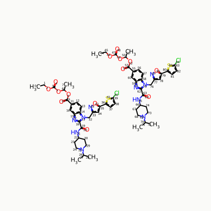 CCOC(=O)OC(C)OC(=O)c1ccc2c(c1)nc(C(=O)NC1CCN(C(C)C)CC1)n2Cc1cc(-c2ccc(Cl)s2)on1.CCOC(=O)OC(C)OC(=O)c1ccc2c(c1)nc(C(=O)NC1CCN(C(C)C)CC1)n2Cc1cc(-c2ccc(Cl)s2)on1